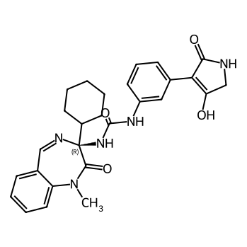 CN1C(=O)[C@@](NC(=O)Nc2cccc(C3=C(O)CNC3=O)c2)(C2CCCCC2)N=Cc2ccccc21